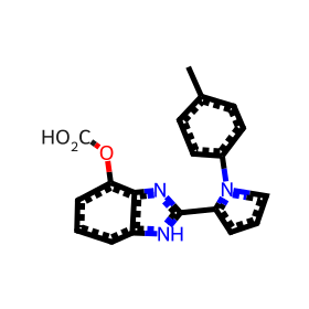 Cc1ccc(-n2cccc2-c2nc3c(OC(=O)O)cccc3[nH]2)cc1